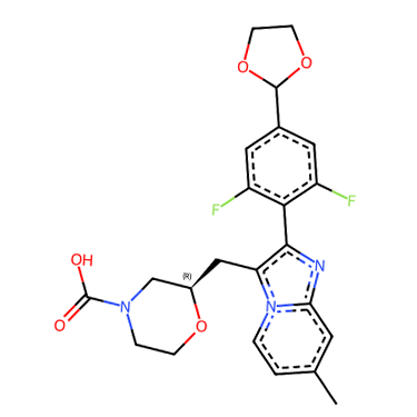 Cc1ccn2c(C[C@@H]3CN(C(=O)O)CCO3)c(-c3c(F)cc(C4OCCO4)cc3F)nc2c1